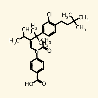 CC(=O)N(/C=C(/C(C)C)C(C)(C)c1ccc(CCC(C)(C)C)c(Cl)c1)c1ccc(C(=O)O)cc1